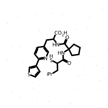 CC(C)CC(S)C(=O)NC1(C(=O)NC(Cc2ccc(-c3ccsc3)nc2)C(=O)O)CCCC1